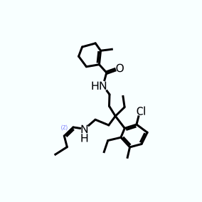 CC/C=C\NCCC(CC)(CCNC(=O)C1=C(C)CCCC1)c1c(Cl)ccc(C)c1CC